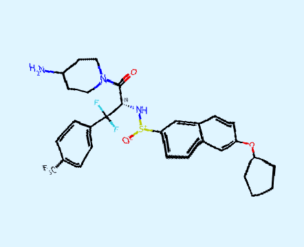 NC1CCN(C(=O)[C@H](N[S+]([O-])c2ccc3cc(OC4CCCC4)ccc3c2)C(F)(F)c2ccc(C(F)(F)F)cc2)CC1